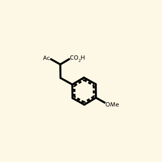 COc1ccc(CC(C(C)=O)C(=O)O)cc1